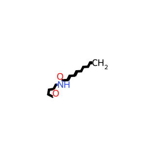 C=CCCC/C=C/C=C/C(=O)NCC1CCCO1